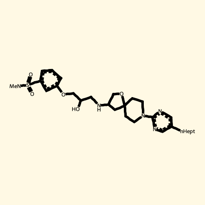 CCCCCCCc1cnc(N2CCC3(CC2)CC(NCC(O)COc2cccc(S(=O)(=O)NC)c2)CO3)nc1